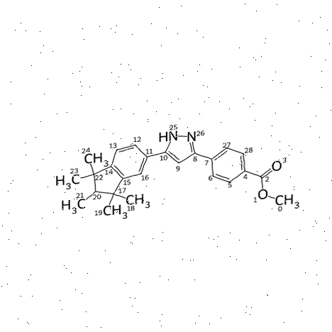 COC(=O)c1ccc(-c2cc(-c3ccc4c(c3)C(C)(C)C(C)C4(C)C)[nH]n2)cc1